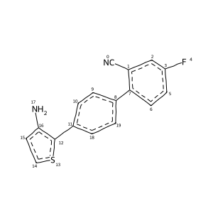 N#Cc1cc(F)ccc1-c1ccc(-c2sccc2N)cc1